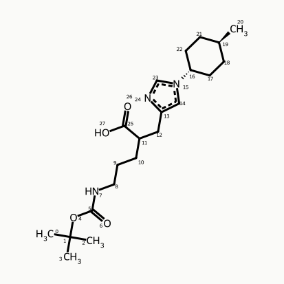 CC(C)(C)OC(=O)NCCCC(Cc1cn([C@H]2CC[C@H](C)CC2)cn1)C(=O)O